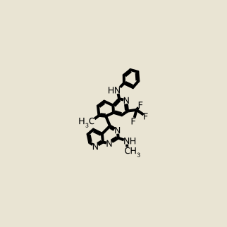 CNc1nc(-c2c(C)ccc3c(Nc4ccccc4)nc(C(F)(F)F)cc23)c2cccnc2n1